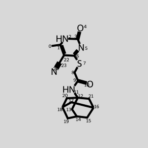 Cc1[nH]c(=O)nc(SCC(=O)NC23CC4CC(CC(C4)C2)C3)c1C#N